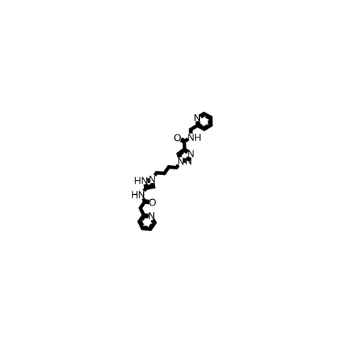 O=C(Cc1ccccn1)Nc1cn(CCCCn2cc(C(=O)NCc3ccccn3)nn2)[nH]1